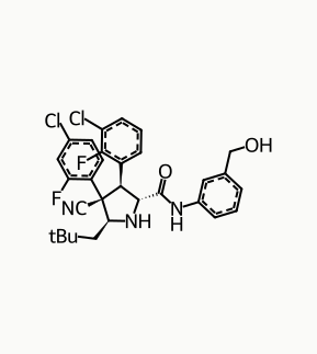 CC(C)(C)C[C@@H]1N[C@@H](C(=O)Nc2cccc(CO)c2)[C@H](c2cccc(Cl)c2F)[C@@]1(C#N)c1ccc(Cl)cc1F